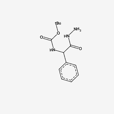 CC(C)(C)OC(=O)NC(C(=O)NN)c1ccccc1